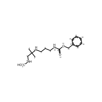 CC(C)(CNC(=O)O)NCCCNC(=O)OCc1ccccc1